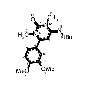 COc1ccc(-c2cc(=NC(C)(C)C)n(C)c(=O)n2C)cc1OC